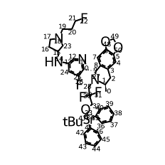 C[C@@H]1Cc2cc3c(cc2[C@@H](c2ncc(NC4CCN(CCCF)C4)cc2F)N1CC(F)(F)CO[Si](c1ccccc1)(c1ccccc1)C(C)(C)C)OCO3